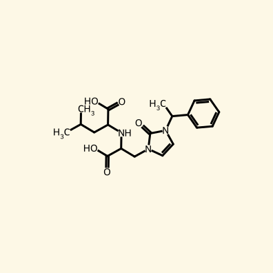 CC(C)CC(NC(Cn1ccn(C(C)c2ccccc2)c1=O)C(=O)O)C(=O)O